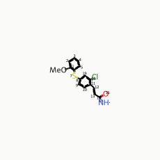 COc1ccccc1Sc1ccc(C=CC([NH])=O)c(Cl)c1